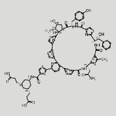 Cc1sc2nc1C(=O)N[C@@H]([C@H](O)c1ccccc1)c1nc(cs1)C(=O)N[C@@H](Cc1ccc(O)cc1)C(=O)N1C[C@H](O)[C@H](C)[C@H]1c1nc(cs1)-c1nc(cs1)-c1nc(-c3nc(C(=O)NC4C[C@@H](CCC(=O)O)C[C@@H](CCC(=O)O)C4)cs3)ccc1-c1nc(cs1)C(=O)N[C@H]2CC(N)=O